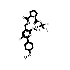 COc1nc(C2CCC(OC)CC2)c(F)cc1CNC(=O)C1CCCN1C(=O)OC(C)(C)C